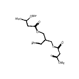 COC(=O)CC(=O)OCC(COC(=O)CC(OC)OC)CC(C)C